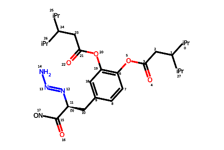 CC(C)C(CC(=O)Oc1ccc(C[C@H](N=NN)C(=O)N=O)cc1OC(=O)CC(C(C)C)C(C)C)C(C)C